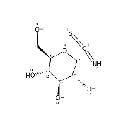 N=C=S.OC[C@H]1OC[C@H](O)[C@@H](O)[C@@H]1O